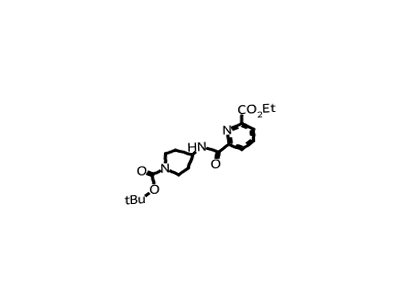 CCOC(=O)c1cccc(C(=O)NC2CCN(C(=O)OC(C)(C)C)CC2)n1